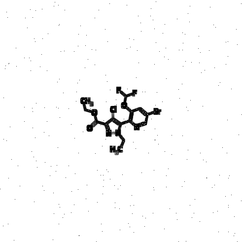 CCOC(=O)c1nn(CC)c(-c2ncc(Br)cc2OC(F)F)c1Cl